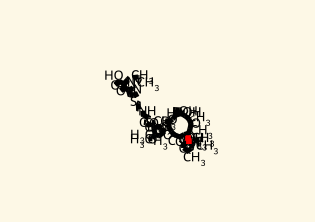 CO[C@]1(C)C[C@@H](C)C(=O)[C@@H](C)[C@@H](O)[C@@]2(O)CC[C@H]2OC(=O)[C@H](C)[C@@H](O[C@H]2C[C@@](C)(OC)[C@@H](OS(=O)(=O)CCNCCSc3cnc4c(c3)c(=O)c(C(=O)O)cn4N(C)C)[C@H](C)O2)[C@H](C)[C@H]1O[C@@H]1O[C@H](C)C[C@H](N(C)C)[C@H]1O